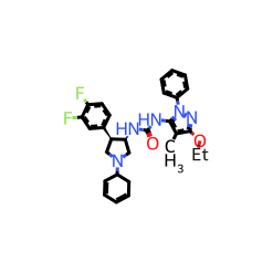 CCOc1nn(-c2ccccc2)c(NC(=O)N[C@@H]2CN(C3C=CC=CC3)C[C@H]2c2ccc(F)c(F)c2)c1C